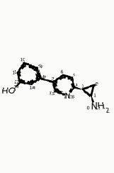 N[C@@H]1C[C@@H]1c1ccc(-c2cccc(O)c2)cn1